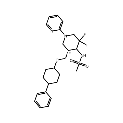 CS(=O)(=O)NC1[C@H](COC2CCC(c3ccccc3)CC2)CN(c2ccccn2)CC1(F)F